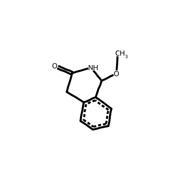 COC1NC(=O)Cc2ccccc21